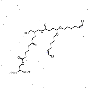 CC/C=C\CCCCOC(CCC(=O)OCC(CO)COC(=O)CCCCC(=O)OCC(CCCCCC)CCCCCCCC)OCCCC/C=C\CC